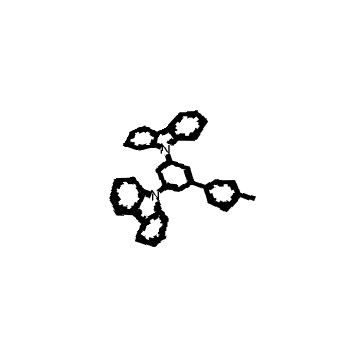 Cc1ccc(C2=CC(n3c4ccccc4c4ccccc43)CC(n3c4ccccc4c4ccccc43)=C2)cc1